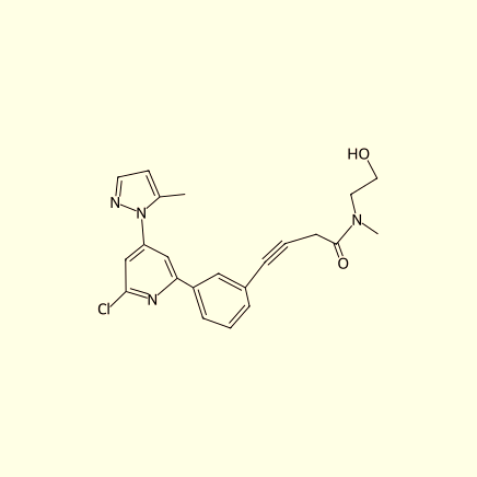 Cc1ccnn1-c1cc(Cl)nc(-c2cccc(C#CCC(=O)N(C)CCO)c2)c1